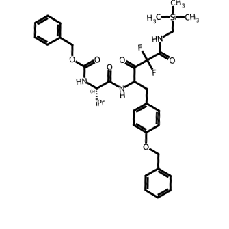 CC(C)[C@H](NC(=O)OCc1ccccc1)C(=O)NC(Cc1ccc(OCc2ccccc2)cc1)C(=O)C(F)(F)C(=O)NC[Si](C)(C)C